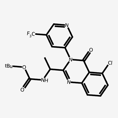 CC(NC(=O)OC(C)(C)C)c1nc2cccc(Cl)c2c(=O)n1-c1cncc(C(F)(F)F)c1